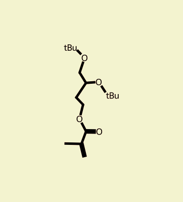 C=C(C)C(=O)OCCC(COC(C)(C)C)OC(C)(C)C